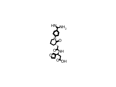 N=C(N)c1ccc(N2CCC[C@@H](CC(=O)NC(CC(=O)O)c3ccoc3)C2=O)cc1